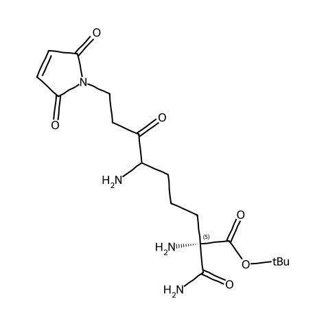 CC(C)(C)OC(=O)[C@](N)(CCCC(N)C(=O)CCN1C(=O)C=CC1=O)C(N)=O